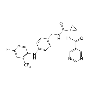 O=C(NC1(C(=O)NCc2ccc(Nc3ccc(F)cc3C(F)(F)F)cn2)CC1)c1cncnc1